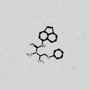 CC(COc1ccccc1)N(C)C(=N)Nc1ccc2c3c(cccc13)C=C2